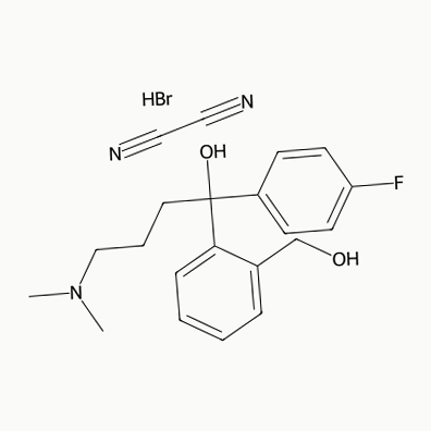 Br.CN(C)CCCC(O)(c1ccc(F)cc1)c1ccccc1CO.N#CC#N